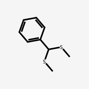 CSC(SC)c1ccccc1